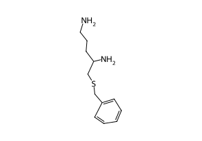 NCCCC(N)CSCc1ccccc1